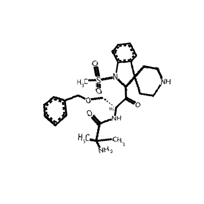 CC(C)(N)C(=O)N[C@H](COCc1ccccc1)C(=O)C1N(S(C)(=O)=O)c2ccccc2C12CCNCC2